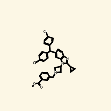 COC(=O)c1cccc(CN2CC(n3c(C4CC4)nc4ccc(C(c5ccc(Cl)cc5)c5ccc(Cl)cc5)cc43)C2)c1